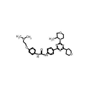 CC1COCCN1c1nc(-c2ccc(NC(=O)Nc3ccc(OCCN(C)C)cc3)cc2)nc(C2CCOCC2)n1